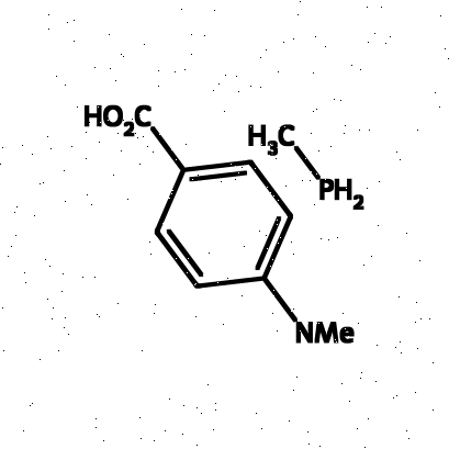 CNc1ccc(C(=O)O)cc1.CP